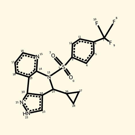 O=S(=O)(c1ccc(C(F)(F)F)cc1)N1c2ncccc2-c2n[nH]cc2C1C1CC1